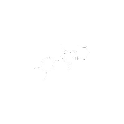 Cc1ccc(-n2c(=O)n3n(c2=O)CCCC3)cc1C